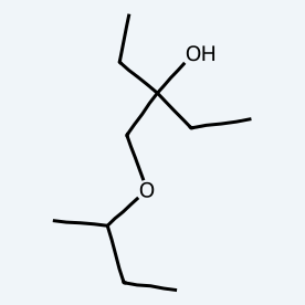 CCC(C)OCC(O)(CC)CC